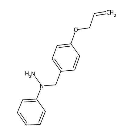 C=CCOc1ccc(CN(N)c2ccccc2)cc1